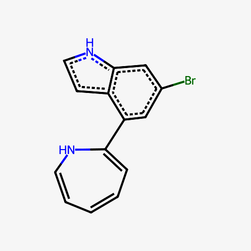 Brc1cc(C2=CC=CC=CN2)c2cc[nH]c2c1